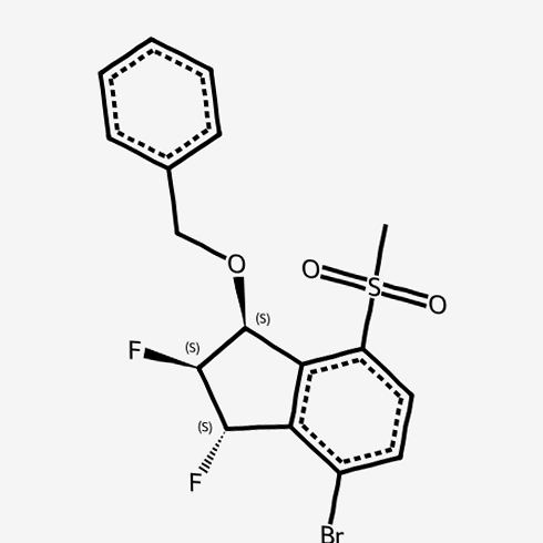 CS(=O)(=O)c1ccc(Br)c2c1[C@H](OCc1ccccc1)[C@H](F)[C@H]2F